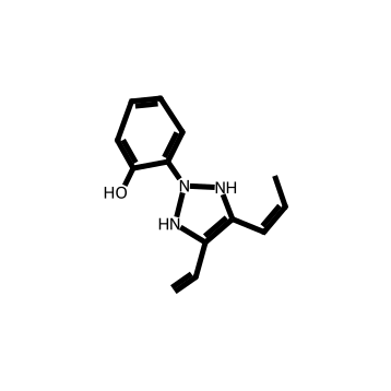 C=CC1=C(/C=C\C)NN(c2ccccc2O)N1